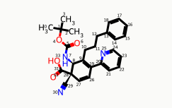 CC(C)(C)OC(=O)N[C@H]1C(CCCc2ccccc2)=C(c2ccccn2)C=C[C@]1(C#N)C(=O)O